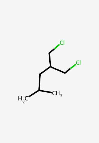 CC(C)CC(CCl)CCl